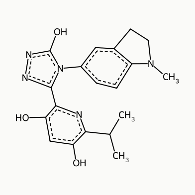 CC(C)c1nc(-c2nnc(O)n2-c2ccc3c(c2)CCN3C)c(O)cc1O